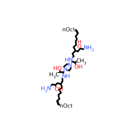 CCCCCCCC/C=C\CCCCCC(CCNC(C(C)O)N1CCN(C(NCCC(CCCCC/C=C\CCCCCCCC)CC(O)CN)C(C)O)CC1)CC(O)CN